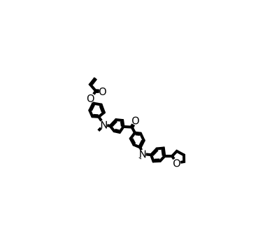 C=CC(=O)Oc1ccc(N(C)c2ccc(C(=O)c3ccc(N(C)c4ccc(C5CCCO5)cc4)cc3)cc2)cc1